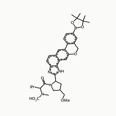 COCC1CC(c2nc3ccc4cc5c(cc4c3[nH]2)OCc2cc(B3OC(C)(C)C(C)(C)O3)ccc2-5)N(C(=O)C(C(C)C)N(C)C(=O)O)C1